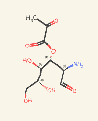 CC(=O)C(=O)O[C@@H]([C@H](O)[C@H](O)CO)[C@@H](N)C=O